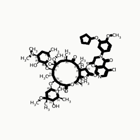 COc1ccc(N(CCS[C@@H]2C(=O)O[C@@]3(C)[C@H]2[C@@H](C)C(=O)[C@H](C)C[C@@](C)(OC)[C@H](O[C@@H]2O[C@H](C)C[C@H](N(C)C)[C@H]2O)[C@@H](C)[C@H](O[C@H]2C[C@@](C)(OC)[C@@H](O)[C@H](C)O2)[C@@H](C)C(=O)O[C@@H]3I)C(=O)c2c(Cl)cncc2Cl)cc1OC1CCCC1